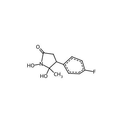 CC1(O)C(c2ccc(F)cc2)CC(=O)N1O